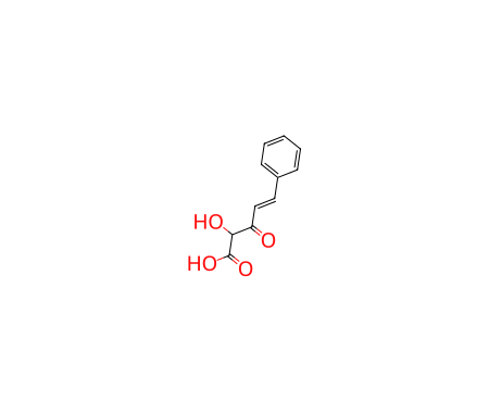 O=C(O)C(O)C(=O)C=Cc1ccccc1